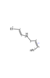 CCC=CNC/C=C\CCC